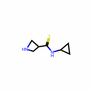 S=C(NC1CC1)C1CNC1